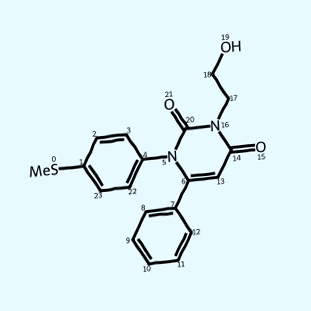 CSc1ccc(-n2c(-c3ccccc3)cc(=O)n(CCO)c2=O)cc1